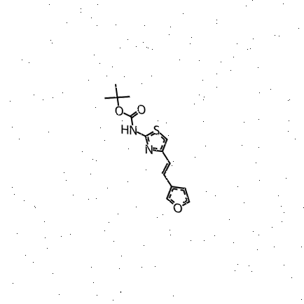 CC(C)(C)OC(=O)Nc1nc(C=Cc2ccoc2)cs1